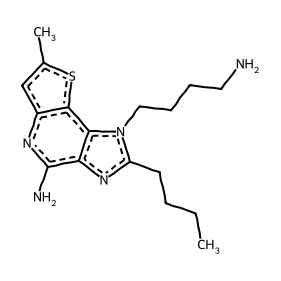 CCCCc1nc2c(N)nc3cc(C)sc3c2n1CCCCN